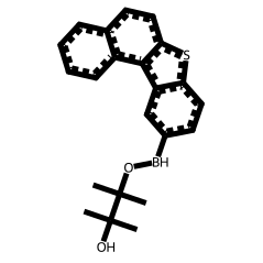 CC(C)(O)C(C)(C)OBc1ccc2sc3ccc4ccccc4c3c2c1